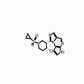 C[C@@H]1CCN(S(=O)(=O)C2CC2)C[C@@H]1c1ncc2cnc3[nH]ccc3n12